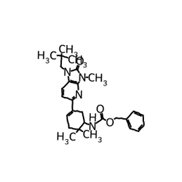 Cn1c(=O)n(CC(C)(C)C)c2ccc(C3=CCC(C)(C)C(NC(=O)OCc4ccccc4)C3)nc21